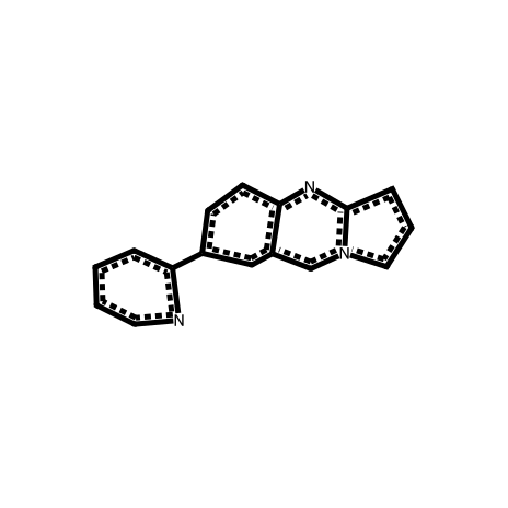 c1ccc(-c2ccc3nc4cccn4cc3c2)nc1